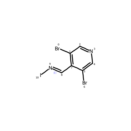 Brc1cncc(Br)c1/C=N/I